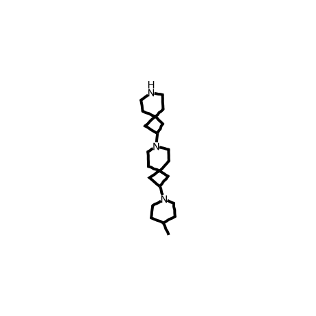 CC1CCN(C2CC3(CCN(C4CC5(CCNCC5)C4)CC3)C2)CC1